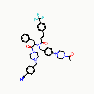 CC(=O)N1CCN(c2ccc(CN(C(=O)C=Cc3ccc(C(F)(F)F)cc3)C(Cc3ccccc3)C(=O)N3CCN(Cc4ccc(C#N)cc4)CC3)cc2)CC1